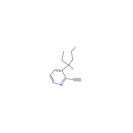 C#Cc1ncccc1C(C)(CC)CCC